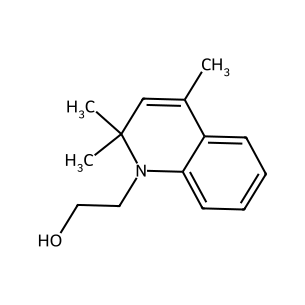 CC1=CC(C)(C)N(CCO)c2ccccc21